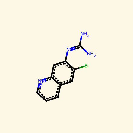 NC(N)=Nc1cc2ncccc2cc1Br